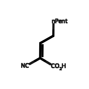 CCCCCCC=C(C#N)C(=O)O